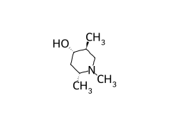 C[C@@H]1C[C@H](O)[C@@H](C)CN1C